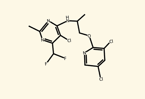 Cc1nc(NC(C)COc2ncc(Cl)cc2Cl)c(Cl)c(C(F)F)n1